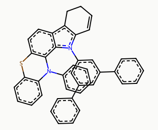 C1=Cc2c(c3ccc4c(c3n2-c2cc(-c3ccccc3)cc(-c3ccccc3)c2)N(c2ccccc2)c2ccccc2S4)CC1